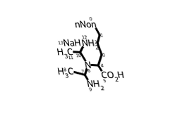 CCCCCCCCCCCCC(C(=O)O)N(C(C)N)C(C)N.[NaH]